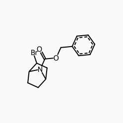 O=C(OCc1ccccc1)N1C2CCC1C(Br)C2